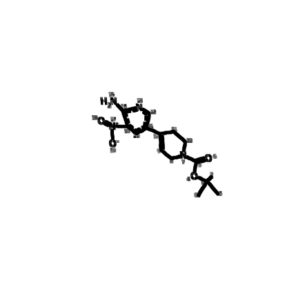 CC(C)(C)OC(=O)N1CC=C(c2cnc(N)c([N+](=O)[O-])c2)CC1